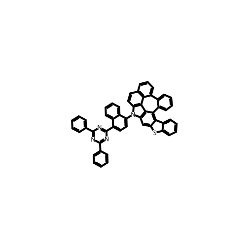 c1ccc(-c2nc(-c3ccccc3)nc(-c3ccc(-n4c5cc6sc7ccccc7c6c6c5c5c7c(cccc7ccc54)-c4ccccc4-6)c4ccccc34)n2)cc1